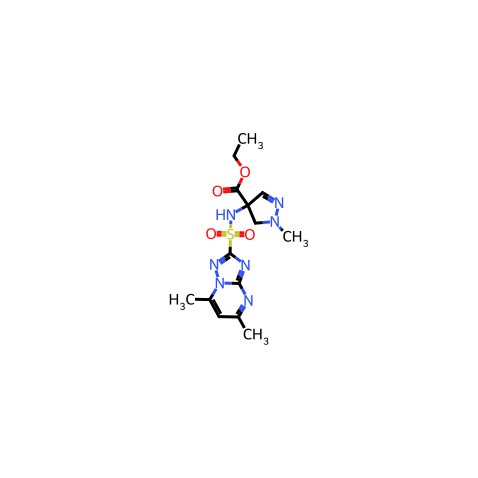 CCOC(=O)C1(NS(=O)(=O)c2nc3nc(C)cc(C)n3n2)C=NN(C)C1